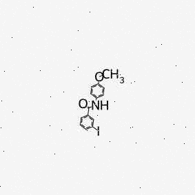 COc1ccc(NC(=O)c2cccc(I)c2)cc1